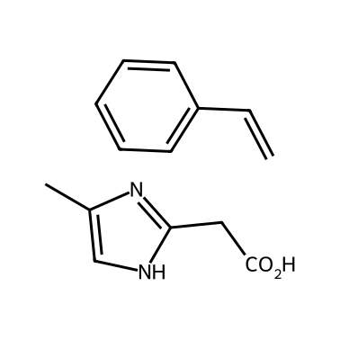 C=Cc1ccccc1.Cc1c[nH]c(CC(=O)O)n1